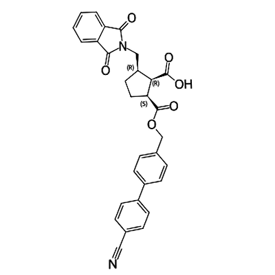 N#Cc1ccc(-c2ccc(COC(=O)[C@H]3CC[C@@H](CN4C(=O)c5ccccc5C4=O)[C@H]3C(=O)O)cc2)cc1